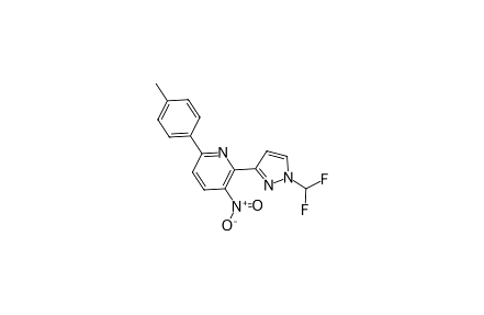 Cc1ccc(-c2ccc([N+](=O)[O-])c(-c3ccn(C(F)F)n3)n2)cc1